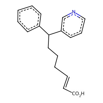 O=C(O)C=CCCCC(c1ccccc1)c1cccnc1